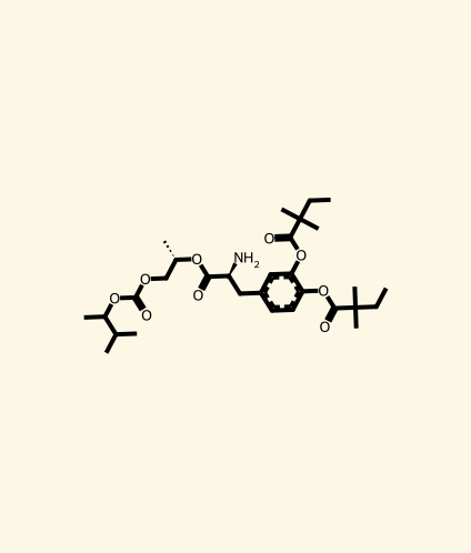 CCC(C)(C)C(=O)Oc1ccc(C[C@H](N)C(=O)O[C@@H](C)COC(=O)OC(C)C(C)C)cc1OC(=O)C(C)(C)CC